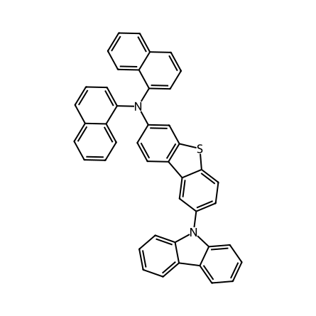 c1ccc2c(N(c3ccc4c(c3)sc3ccc(-n5c6ccccc6c6ccccc65)cc34)c3cccc4ccccc34)cccc2c1